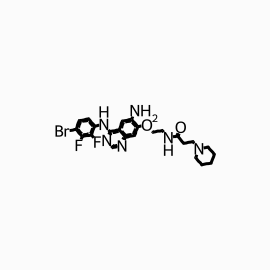 Nc1cc2c(Nc3ccc(Br)c(F)c3F)ncnc2cc1OCCNC(=O)CCN1CCCCC1